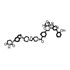 Nc1nnc(-c2ccccc2O)cc1N1C[C@@H](c2ccc(C(=O)N3CCC(F)(CN4CCC(n5ccc6cc(N7CCC(=O)NC7=O)ccc65)CC4)CC3)cc2)O[C@H]2COC[C@H]21